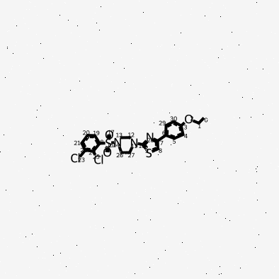 CCOc1ccc(-c2csc(N3CCN(S(=O)(=O)c4cccc(Cl)c4Cl)CC3)n2)cc1